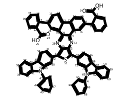 O=C(O)c1ccccc1-c1ccc2c3ccc(-c4ccccc4C(=O)O)cc3c3nc4c(-c5ccc6c7ccccc7n(-c7ccccc7)c6c5)sc(-c5ccc6c7ccccc7n(-c7ccccc7)c6c5)c4nc3c2c1